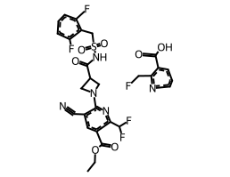 CCOC(=O)c1cc(C#N)c(N2CC(C(=O)NS(=O)(=O)Cc3c(F)cccc3F)C2)nc1C(F)F.O=C(O)c1cccnc1CF